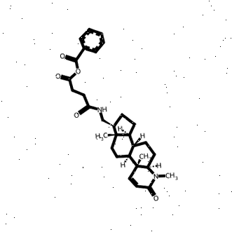 CN1C(=O)C=C[C@]2(C)[C@H]3CC[C@]4(C)[C@@H](CNC(=O)CCC(=O)OC(=O)c5ccccc5)CC[C@H]4[C@@H]3CC[C@@H]12